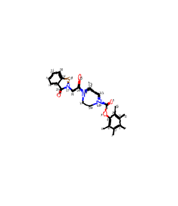 Cc1c(C)c(C)c(OC(=O)N2CCN(C(=O)Cn3sc4ccccc4c3=O)CC2)c(C)c1C